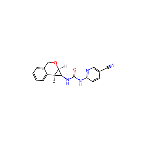 N#Cc1ccc(NC(=O)N[C@@H]2[C@@H]3OCc4ccccc4[C@H]23)nc1